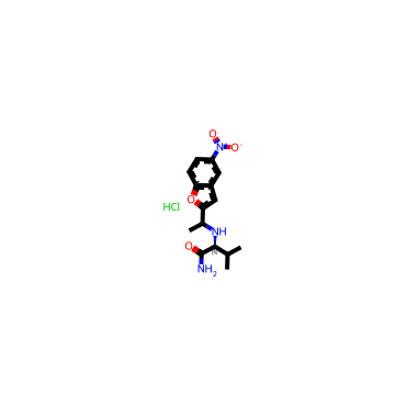 CC(N[C@H](C(N)=O)C(C)C)c1cc2cc([N+](=O)[O-])ccc2o1.Cl